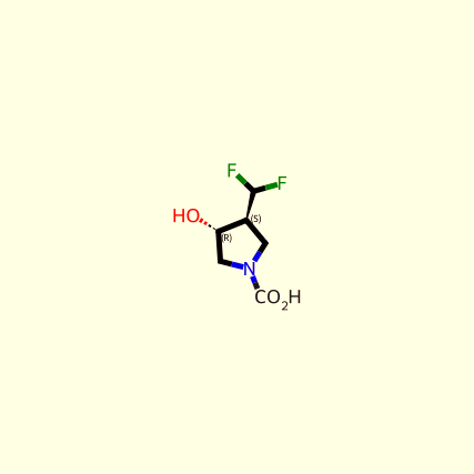 O=C(O)N1C[C@H](C(F)F)[C@@H](O)C1